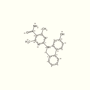 Cc1nc(NCc2ccccc2-c2ccc(O)cc2)nc(C)c1C(N)=O